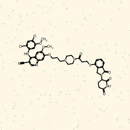 COc1cc(Nc2c(C#N)cnc3cc(OCCCN4CCN(C(=O)CCSc5cccc6c5CN(C5CCC(=O)NC5=O)C6=O)CC4)c(OC)cc23)c(Cl)cc1Cl